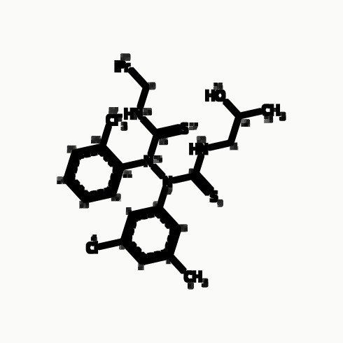 Cc1cc(Cl)cc(N(C(=S)NCC(C)O)N(C(=S)NCC(C)C)c2ccccc2C(F)(F)F)c1